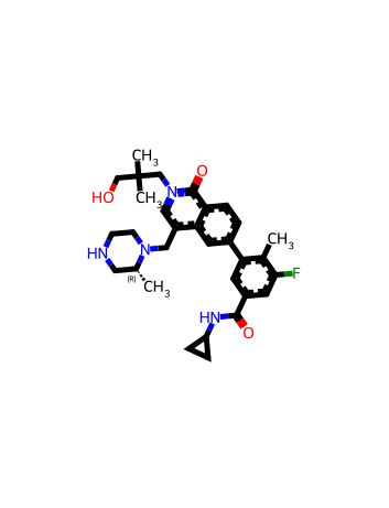 Cc1c(F)cc(C(=O)NC2CC2)cc1-c1ccc2c(=O)n(CC(C)(C)CO)cc(CN3CCNC[C@H]3C)c2c1